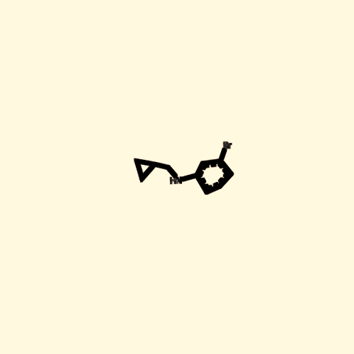 Brc1cccc(NCC2CC2)c1